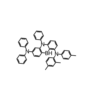 Cc1ccc(N(c2ccc(C)cc2C)c2cccc3c2Bc2ccc(N(c4ccccc4)c4ccccc4)cc2N3c2ccccc2)cc1